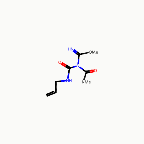 C=CCNC(=O)N(C(=N)OC)C(=O)NC